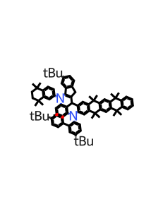 Cc1cc2c3c(c1)N(c1ccc(C(C)(C)C)cc1-c1ccc(C(C)(C)C)cc1)c1cc4c(cc1C3C1=C(c3cc(C(C)(C)C)ccc3C1)N2c1ccc2c(c1)C(C)(C)CCC2(C)C)C(C)(C)c1cc2c(cc1C4(C)C)C(C)(C)c1ccccc1C2(C)C